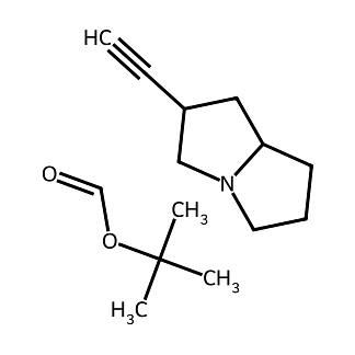 C#CC1CC2CCCN2C1.CC(C)(C)OC=O